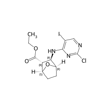 CCOC(=O)[C@@H]1[C@@H](Nc2nc(Cl)ncc2I)[C@H]2CC[C@@H]1O2